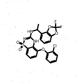 CC(NC1=NS(=O)(=O)c2cccc(Oc3ccccc3Cl)c2N1)c1cccc2c1OC(F)(F)O2